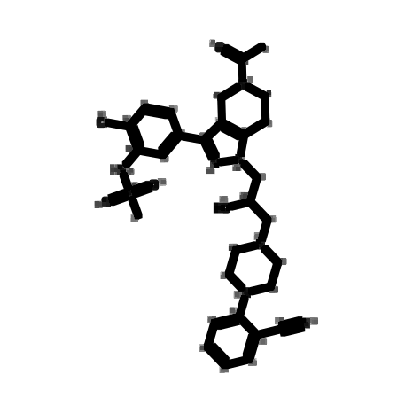 CC(=O)N1CCc2c(c(-c3ccc(Cl)c(NS(C)(=O)=O)c3)nn2CC(O)CN2CCN(c3ccccc3C#N)CC2)C1